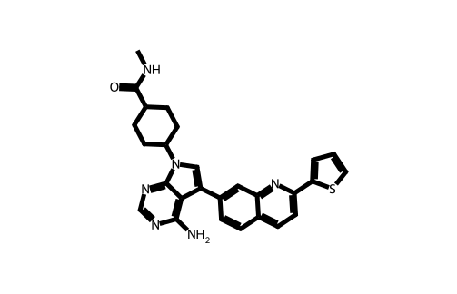 CNC(=O)C1CCC(n2cc(-c3ccc4ccc(-c5cccs5)nc4c3)c3c(N)ncnc32)CC1